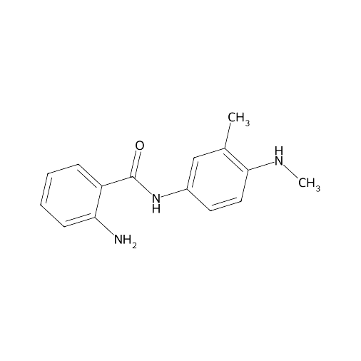 CNc1ccc(NC(=O)c2ccccc2N)cc1C